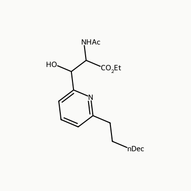 CCCCCCCCCCCCc1cccc(C(O)C(NC(C)=O)C(=O)OCC)n1